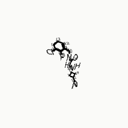 N#CC1CC(NCC(=O)NCc2cccc(Cl)c2F)C1